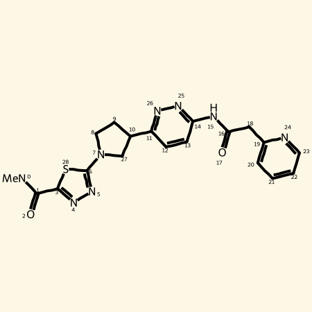 CNC(=O)c1nnc(N2CCC(c3ccc(NC(=O)Cc4ccccn4)nn3)C2)s1